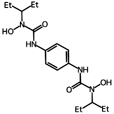 CCC(CC)N(O)C(=O)Nc1ccc(NC(=O)N(O)C(CC)CC)cc1